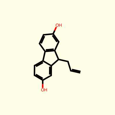 C=CCC1c2cc(O)ccc2-c2ccc(O)cc21